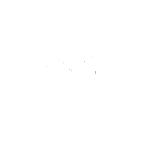 COC(C)c1nccc(CS(=O)(=O)O)n1